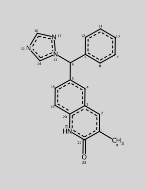 Cc1cc2cc(C(c3ccccc3)n3cncn3)ccc2[nH]c1=O